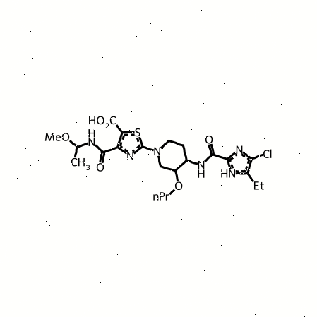 CCCOC1CN(c2nc(C(=O)NC(C)OC)c(C(=O)O)s2)CCC1NC(=O)c1nc(Cl)c(CC)[nH]1